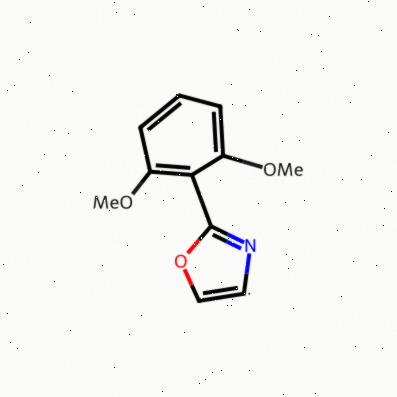 COc1cccc(OC)c1-c1n[c]co1